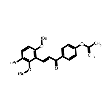 C=C(C)Oc1ccc(C(=O)/C=C/c2c(OC(C)(C)C)ccc(CCC)c2OC(C)(C)C)cc1